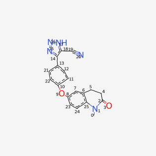 CN1C(=O)CCc2cc(Oc3ccc(-c4nn[nH]c4C#N)cc3)ccc21